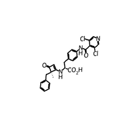 C[C@]1(Cc2ccccc2)C(=O)C=C1N[C@@H](Cc1ccc(NC(=O)c2c(Cl)cncc2Cl)cc1)C(=O)O